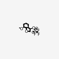 COc1cccc2c(OS(=O)(=O)C(F)(F)F)coc12